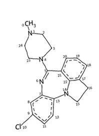 CN1CCN(C2=Nc3cc(Cl)ccc3N3CCc4cccc2c43)CC1